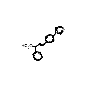 O=C(O)C(C=Cc1ccc(-n2ccnc2)cc1)c1ccccc1